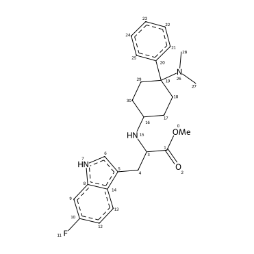 COC(=O)C(Cc1c[nH]c2cc(F)ccc12)NC1CCC(c2ccccc2)(N(C)C)CC1